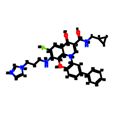 O=C(NCC1CC1)c1cn2c3c(c(NCCCn4ccnc4)c(F)cc3c1=O)Oc1ccc(-c3ccccc3)cc1-2